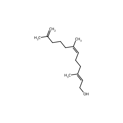 C=C(C)CCC/C(C)=C\CC/C(C)=C/CO